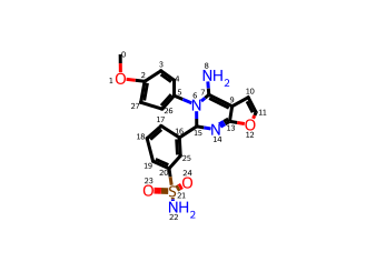 COc1ccc(N2C(N)=c3ccoc3=NC2c2cccc(S(N)(=O)=O)c2)cc1